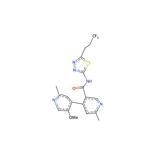 COc1cnc(C)cc1-c1cc(C)ncc1C(=O)Nc1nnc(CCC(F)(F)F)s1